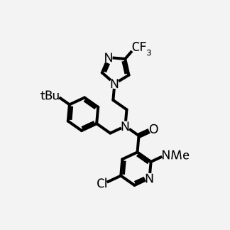 CNc1ncc(Cl)cc1C(=O)N(CCn1cnc(C(F)(F)F)c1)Cc1ccc(C(C)(C)C)cc1